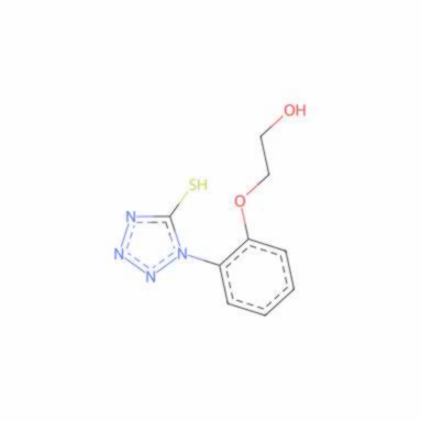 OCCOc1ccccc1-n1nnnc1S